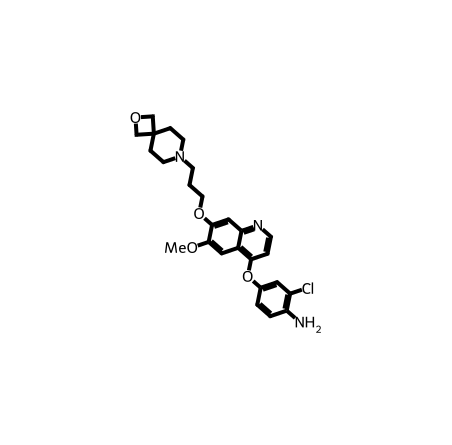 COc1cc2c(Oc3ccc(N)c(Cl)c3)ccnc2cc1OCCCN1CCC2(CC1)COC2